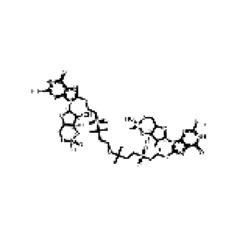 CC(C)(CCS(=O)(=O)CCSc1nc2c(=O)[nH]c(N)nc2n1[C@@H]1OC2COP(=O)(O)O[C@H]2C1O)OCCC(C)(C)S(=O)(=O)CCSc1nc2c(=O)[nH]c(N)nc2n1[C@@H]1OC2COP(=O)(O)O[C@H]2[C@@H]1O